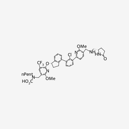 CCCCCN(Cc1cc(C(F)(F)F)c(O[C@H]2CCc3c(-c4cccc(-c5ccc(CNC[C@@H]6CCC(=O)N6)c(OC)n5)c4Cl)cccc32)nc1OC)C(=O)O